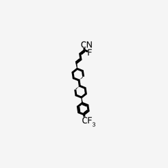 N#CC(F)=CC=C[C@H]1CC[C@H]([C@H]2CC[C@H](c3ccc(C(F)(F)F)cc3)CC2)CC1